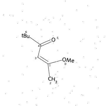 CO/C(C)=C\C(=O)C(C)(C)C